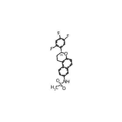 CS(=O)(=O)Nc1ccc2c3c(ccc2c1)O[C@H](c1cc(F)c(F)cc1F)CC3